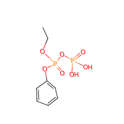 CCOP(=O)(Oc1ccccc1)OP(=O)(O)O